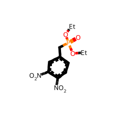 CCOP(=O)(Cc1ccc([N+](=O)[O-])c([N+](=O)[O-])c1)OCC